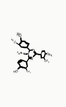 Cc1cc(C2=NC(c3ccc(O)c(C)c3)N(N)C(c3ccc(O)c(C)c3)=N2)ccc1O